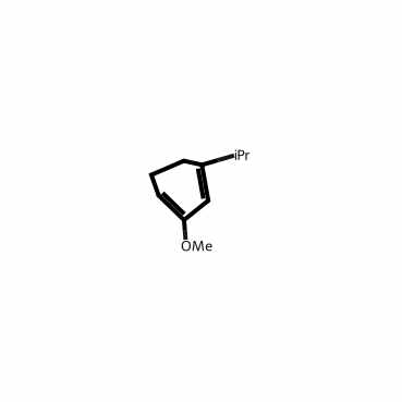 COC1=CCCC(C(C)C)=C1